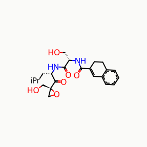 CC(C)C[C@H](NC(=O)[C@H](CO)NC(=O)C1=Cc2ccccc2CC1)C(=O)[C@@]1(CO)CO1